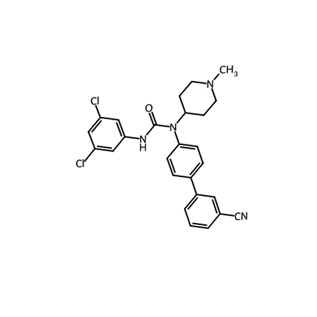 CN1CCC(N(C(=O)Nc2cc(Cl)cc(Cl)c2)c2ccc(-c3cccc(C#N)c3)cc2)CC1